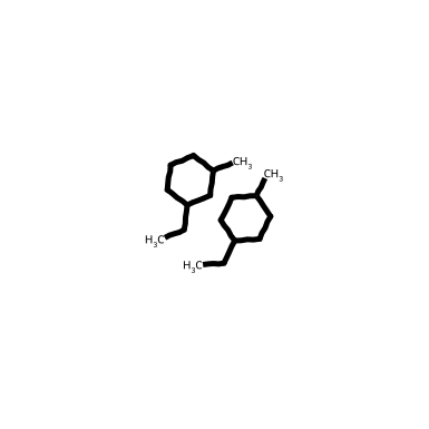 CCC1CCC(C)CC1.CCC1CCCC(C)C1